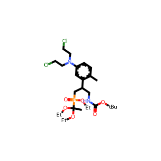 CCOC(C)(OCC)P(=O)(CC(CNC(=O)OC(C)(C)C)c1cc(N(CCCl)CCCl)ccc1C)OCC